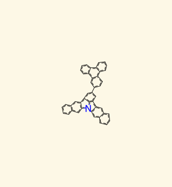 c1ccc2cc3c(cc2c1)c1cc(-c2ccc4c5ccccc5c5ccccc5c4c2)cc2c4cc5ccccc5cc4n3c12